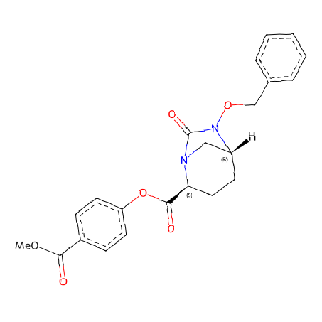 COC(=O)c1ccc(OC(=O)[C@@H]2CC[C@@H]3CN2C(=O)N3OCc2ccccc2)cc1